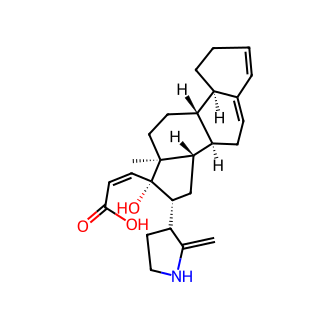 C=C1NCCC1[C@H]1C[C@H]2[C@@H]3CC=C4C=CCC[C@@H]4[C@H]3CC[C@]2(C)[C@]1(O)/C=C\C(=O)O